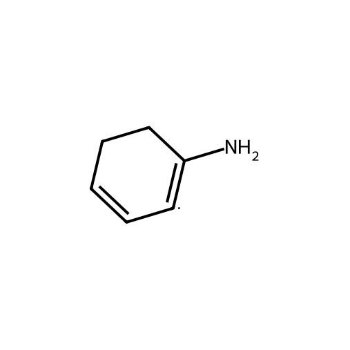 NC1=[C]C=CCC1